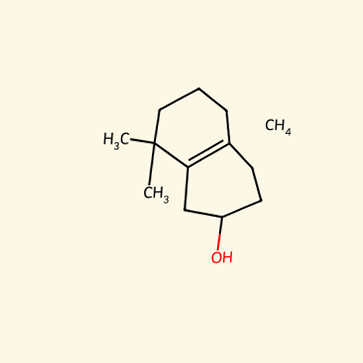 C.CC1(C)CCCC2=C1CC(O)CC2